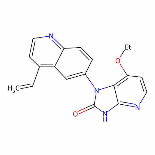 C=Cc1ccnc2ccc(-n3c(=O)[nH]c4nccc(OCC)c43)cc12